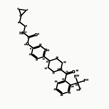 O=C(NCCC1CC1)Oc1ccc(C2CCN(C(=O)c3ccccc3C(F)(F)F)CC2)nc1